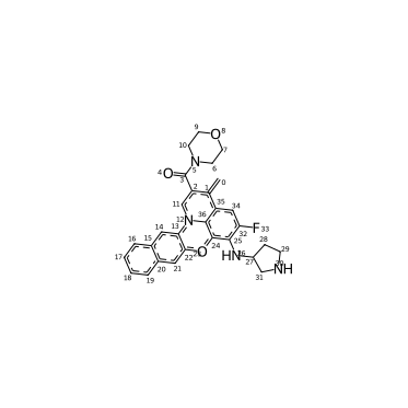 C=c1c(C(=O)N2CCOCC2)cn2c3cc4ccccc4cc3oc3c(NC4CCNC4)c(F)cc1c3-2